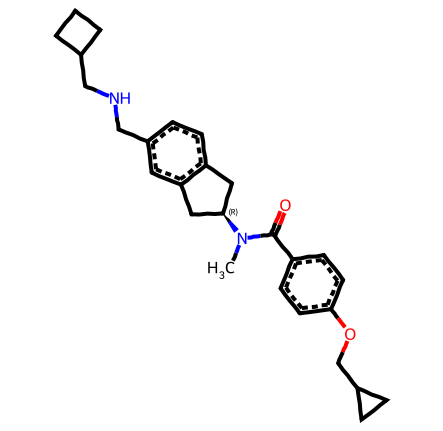 CN(C(=O)c1ccc(OCC2CC2)cc1)[C@@H]1Cc2ccc(CNCC3CCC3)cc2C1